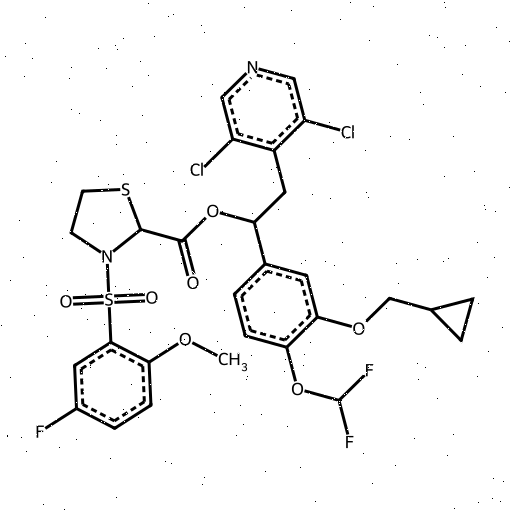 COc1ccc(F)cc1S(=O)(=O)N1CCSC1C(=O)OC(Cc1c(Cl)cncc1Cl)c1ccc(OC(F)F)c(OCC2CC2)c1